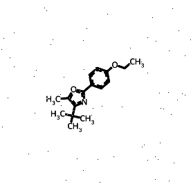 CCOc1ccc(-c2nc(C(C)(C)C)c(C)o2)cc1